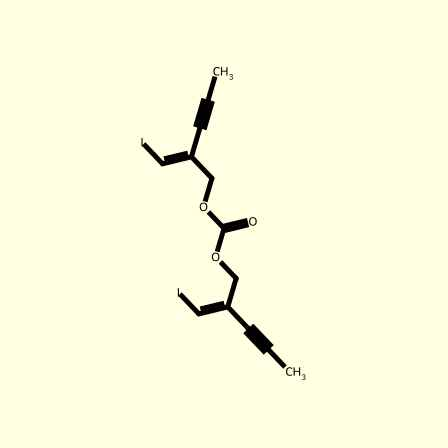 CC#CC(=CI)COC(=O)OCC(C#CC)=CI